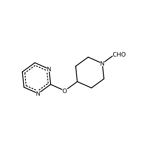 O=CN1CCC(Oc2ncccn2)CC1